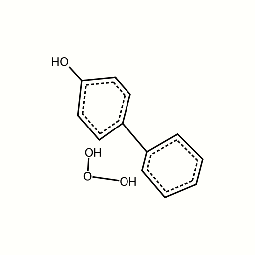 OOO.Oc1ccc(-c2ccccc2)cc1